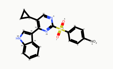 O=[N+]([O-])c1ccc(S(=O)(=O)c2ncc(C3CC3)c(-c3c[nH]c4ccccc34)n2)cc1